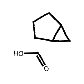 C1CC2CC2C1.O=CO